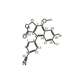 COc1c2c(c(-c3ccc(C#N)cc3)c3cc(C)c(C)cc13)C(=O)OC2